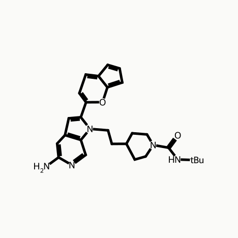 CC(C)(C)NC(=O)N1CCC(CCn2c(-c3ccc4cccc-4o3)cc3cc(N)ncc32)CC1